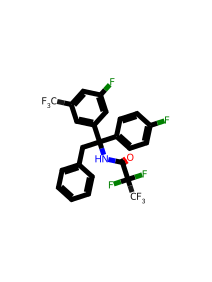 O=C(NC(Cc1ccccc1)(c1ccc(F)cc1)c1cc(F)cc(C(F)(F)F)c1)C(F)(F)C(F)(F)F